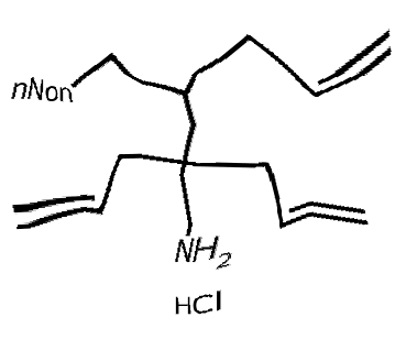 C=CCC(CCCCCCCCCC)C(N)(CC=C)CC=C.Cl